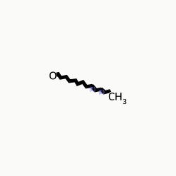 CC/C=C/C=C/CCCCCCCC=O